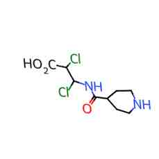 O=C(NC(Cl)C(Cl)C(=O)O)C1CCNCC1